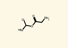 CCCCC(Cl)OC(=O)CN